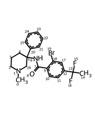 CN1CCCC(NC(=O)c2ccc(C(C)(F)F)cc2Br)(c2ccccc2)C1